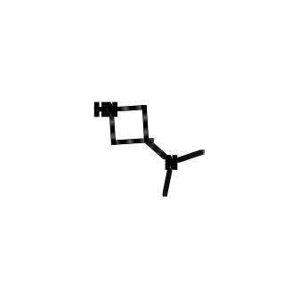 CN(C)[C]1CNC1